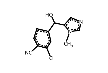 Cn1cncc1C(O)c1ccc(C#N)c(Cl)c1